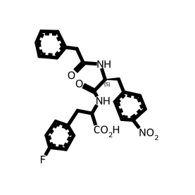 O=C(Cc1ccccc1)N[C@@H](Cc1ccc([N+](=O)[O-])cc1)C(=O)NC(Cc1ccc(F)cc1)C(=O)O